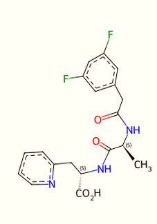 C[C@H](NC(=O)Cc1cc(F)cc(F)c1)C(=O)N[C@@H](Cc1ccccn1)C(=O)O